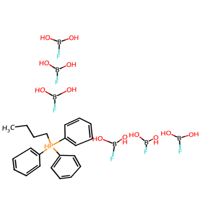 CCCC[PH](c1ccccc1)(c1ccccc1)c1ccccc1.OB(O)F.OB(O)F.OB(O)F.OB(O)F.OB(O)F.OB(O)F